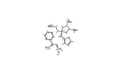 C=CC(=C)c1ccccc1.CC(C)(C)CCP(CCC(C)(C)C)(CCC(C)(C)C)=NC1=CC=CC1.[Ti]